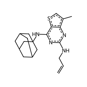 C=CCNc1nc(NC23CC4CC(CC(C4)C2)C3)c2scc(C)c2n1